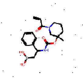 C=CC(=O)N1CCCC(C)(OC(=O)NC(CB(O)O)c2ccccc2)C1